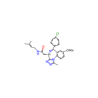 COc1ccc2c(c1)C(c1ccc(Cl)cc1)=N[C@H](CC(=O)NCC=C(C)C)c1nnc(C)n1-2